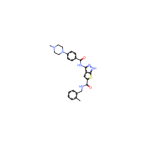 Cc1ccccc1CNC(=O)c1cc2c(NC(=O)c3ccc(N4CCN(C)CC4)cc3)n[nH]c2s1